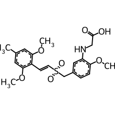 COc1ccc(CS(=O)(=O)/C=C/c2c(OC)cc(C)cc2OC)cc1NCC(=O)O